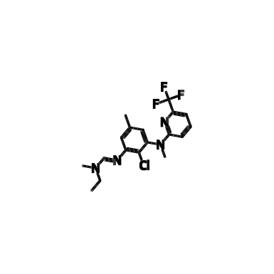 CCN(C)C=Nc1cc(C)cc(N(C)c2cccc(C(F)(F)F)n2)c1Cl